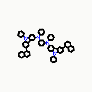 C1=Cc2c(cccc2-c2ccc3c(c2)c2cc(N(c4ccccc4)c4cccc(N(c5ccccc5)c5ccc6c(c5)c5cc(-c7cccc8ccccc78)ccc5n6-c5ccccc5)c4)ccc2n3-c2ccccc2)CC1